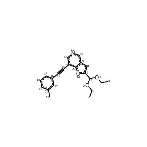 CCOC(OCC)c1cc2cncc(C#Cc3cccc(C)c3)c2o1